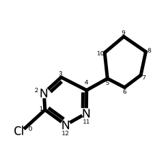 Clc1ncc(C2CCCCC2)nn1